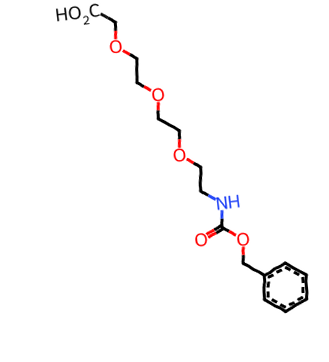 O=C(O)COCCOCCOCCNC(=O)OCc1ccccc1